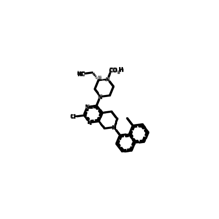 Cc1cccc2cccc(N3CCc4c(nc(Cl)nc4N4CCN(C(=O)O)[C@@H](CC#N)C4)C3)c12